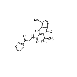 CC(C)c1c(C(=O)NCC(=O)c2ccccc2)[nH]c2c(C#N)cnn2c1=O